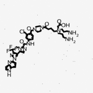 Cn1c(-c2cn(-c3ccc4[nH]ccc4n3)nc2C(F)(F)F)cnc1C(=O)Nc1ccc(C(=O)N2CCN(C(=O)CCC[N+](CCCN)(CCCN)CC(=O)O)CC2)c(Cl)c1